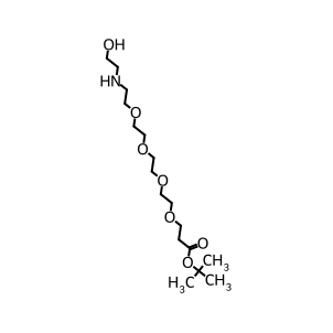 CC(C)(C)OC(=O)CCOCCOCCOCCOCCNCCO